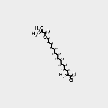 C=C(C)C(=O)OCCCCCCCCCCCCC[SiH2]C(Cl)Cl